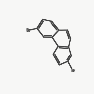 Brc1ccc2c(ccc3ccc(Br)cc32)c1